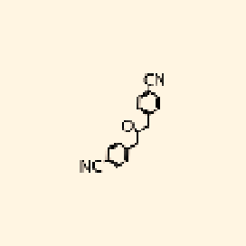 N#Cc1ccc(CC(=O)Cc2ccc(C#N)cc2)cc1